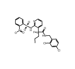 CCC[C@@](F)(C(=O)NCc1ccc(Cl)cc1Cl)c1cccnc1NS(=O)(=O)c1ccccc1[N+](=O)[O-]